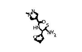 Cn1cc(C(=O)NC(C(N)=S)c2ccco2)cn1